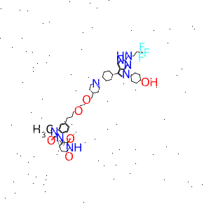 Cn1c(=O)n([C@H]2CCC(=O)NC2=O)c2ccc(CCCOCCOCC3CCN(C[C@H]4CC[C@H](c5cn([C@H]6CC[C@H](O)CC6)c6nc(NCCC(F)(F)F)ncc65)CC4)CC3)cc21